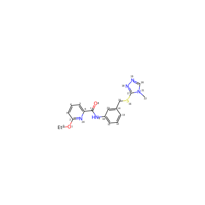 CCOc1cccc(C(=O)Nc2cccc(CSc3nncn3C)c2)n1